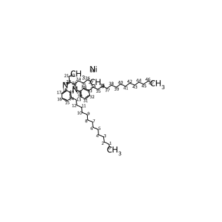 CCCCCCCCCCCCCCc1cccc(N=C(CC)C(CCCC)=Nc2cccc(CCCCCCCCCCCCCC)c2)c1.[Ni]